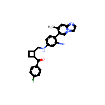 Cc1cc2nccn2cc1-c1ccc(NCC2CCC2C(=O)c2ccc(Cl)cc2)cc1N